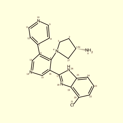 N[C@H]1CCN(c2c(-c3ccncc3)cncc2-c2nc3c(Cl)cccc3[nH]2)C1